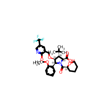 COc1ccccc1[C@H]1[C@@H](OCc2cc(C(F)(F)F)cnc2OC)[C@H](C(C)(C)C)[C@@H](C(=O)O)N1C(=O)[C@@H]1CCCCO1